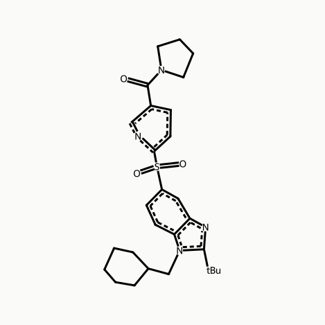 CC(C)(C)c1nc2cc(S(=O)(=O)c3ccc(C(=O)N4CCCC4)cn3)ccc2n1CC1CCCCC1